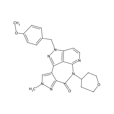 COc1ccc(Cn2nc3c4c(nccc42)N(C2CCOCC2)C(=O)c2nn(C)cc2-3)cc1